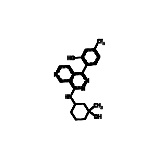 CC1(O)CCCC(Nc2nnc(-c3ccc(C(F)(F)F)cc3O)c3ccncc23)C1